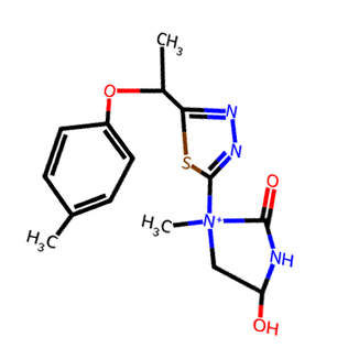 Cc1ccc(OC(C)c2nnc([N+]3(C)CC(O)NC3=O)s2)cc1